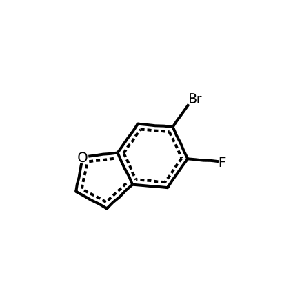 Fc1cc2ccoc2cc1Br